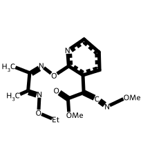 CCON=C(C)C(C)=NOc1ncccc1C(=C=NOC)C(=O)OC